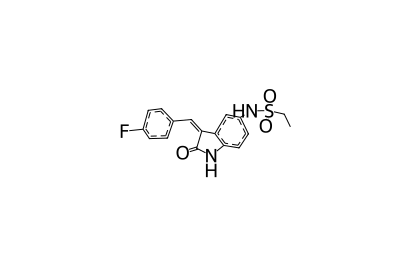 CCS(=O)(=O)Nc1ccc2c(c1)C(=Cc1ccc(F)cc1)C(=O)N2